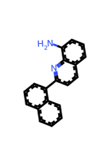 Nc1cccc2ccc(-c3cccc4ccccc34)nc12